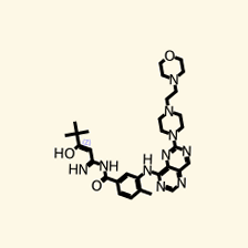 Cc1ccc(C(=O)NC(=N)/C=C(\O)C(C)(C)C)cc1Nc1ncnc2cnc(N3CCN(CCN4CCOCC4)CC3)nc12